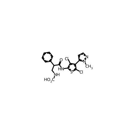 Cn1nccc1-c1c(Cl)sc(NC(=O)C(CNC(=O)O)c2ccccc2)c1Cl